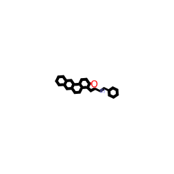 C(=C\c1cc2c(ccc3c4cc5ccccc5cc4ccc23)o1)/c1ccccc1